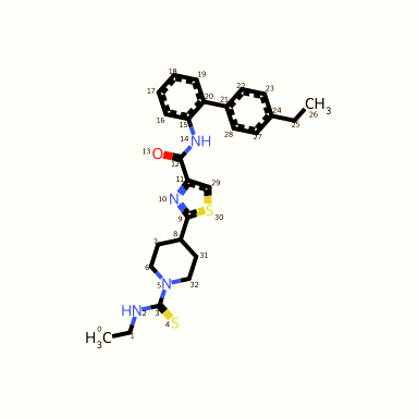 CCNC(=S)N1CCC(c2nc(C(=O)Nc3ccccc3-c3ccc(CC)cc3)cs2)CC1